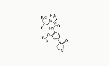 NC[C@@H](C(=O)Nc1ccc(N2CCOCC2=O)cc1OC(F)F)N(CC(F)F)CC(F)(F)F